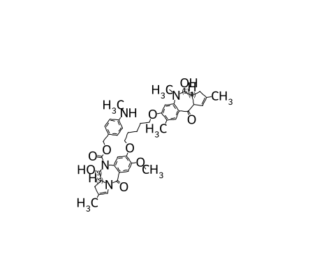 CNc1ccc(COC(=O)N2c3cc(OCCCCCOc4cc5c(cc4C)C(=O)C4C=C(C)C[C@H]4[C@H](O)N5C)c(OC)cc3C(=O)N3C=C(C)C[C@H]3[C@@H]2O)cc1